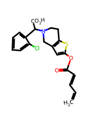 C=CC=CC(=O)Oc1cc2c(s1)CCN(C(C(=O)O)c1ccccc1Cl)C2